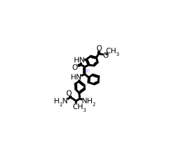 COC(=O)c1ccc2c(c1)NC(=O)/C2=C(\Nc1ccc(C(N)C(C)C(N)=O)cc1)c1ccccc1